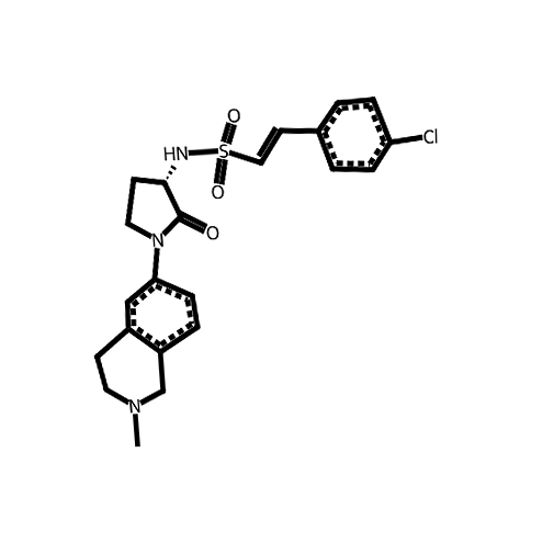 CN1CCc2cc(N3CC[C@H](NS(=O)(=O)/C=C/c4ccc(Cl)cc4)C3=O)ccc2C1